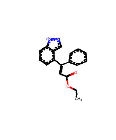 CCOC(=O)C=C(c1ccccc1)c1cccc2[nH]ncc12